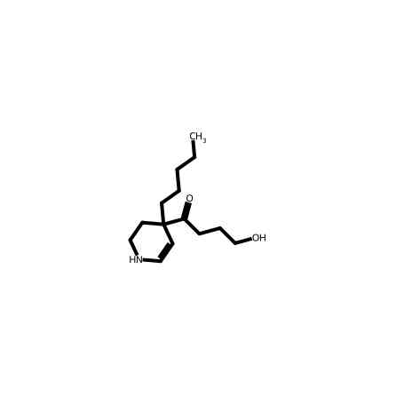 CCCCCC1(C(=O)CCCO)C=CNCC1